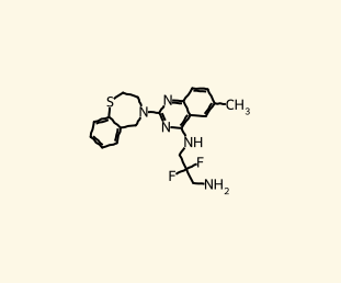 Cc1ccc2nc(N3CCSc4ccccc4C3)nc(NCC(F)(F)CN)c2c1